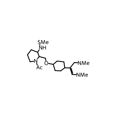 CN/C=C(\CNC)C1CCC(OCC2C(NSC)CCCN2C(C)=O)CC1